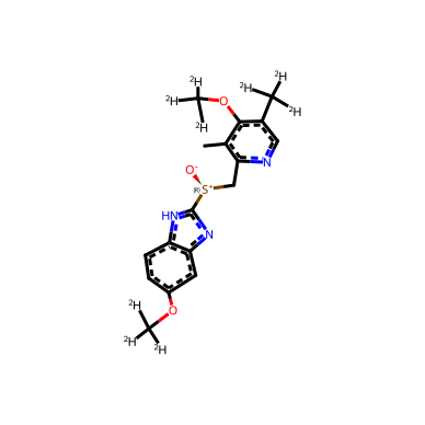 [2H]C([2H])([2H])Oc1ccc2[nH]c([S@@+]([O-])Cc3ncc(C([2H])([2H])[2H])c(OC([2H])([2H])[2H])c3C)nc2c1